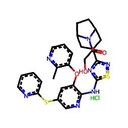 Cc1ncccc1Oc1cc(Sc2ccccn2)cnc1Nc1nc(C2CC3CCC(C2)N3C(=O)CO)ns1.Cl